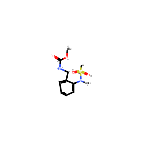 CCCCN(c1ccccc1CNC(=O)OC(C)(C)C)S(C)(=O)=O